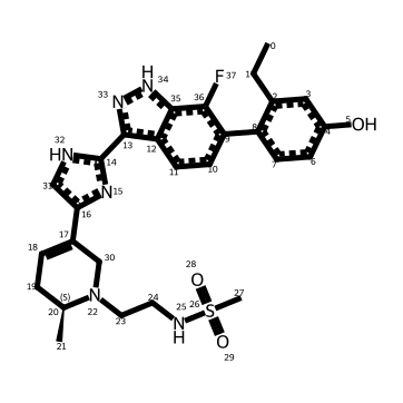 CCc1cc(O)ccc1-c1ccc2c(-c3nc(C4=CC[C@H](C)N(CCNS(C)(=O)=O)C4)c[nH]3)n[nH]c2c1F